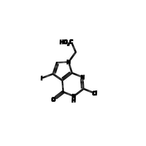 O=C(O)Cn1cc(I)c2c(=O)[nH]c(Cl)nc21